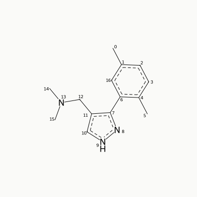 Cc1ccc(C)c(-c2n[nH]cc2CN(C)C)c1